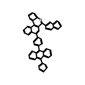 c1ccc(-c2c3ccccc3c(-c3ccc(-c4cc5c(-c6ccc7ccccc7c6)nc6ccccc6c5c5ccccc45)cc3)c3ccccc23)cc1